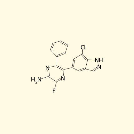 Nc1nc(-c2ccccc2)c(-c2cc(Cl)c3[nH]ncc3c2)nc1F